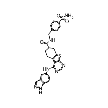 NS(=O)(=O)c1ccc(CNC(=O)C2CCc3c(sc4ncnc(Nc5ccc6[nH]ncc6c5)c34)C2)cc1